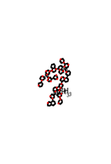 CC1(C)c2ccc(-c3cccc4c(-c5cccc(N(c6cccc(-c7ccccc7)c6)c6cccc7c(-c8ccc(-c9cccc(N(c%10cccc(-c%11ccccc%11)c%10)c%10cccc(-c%11ccccc%11)c%10)c9)c9ccccc89)cccc67)c5)cccc34)cc2-c2cccc(N(c3cccc(-c4ccccc4)c3)c3cccc(-c4cccc5ccccc45)c3)c21